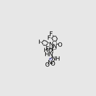 CN/C(=C\[N+](=O)[O-])NCC1(O)CN(C(=O)c2ccc(F)c(F)c2Nc2ccc(I)cc2F)C1